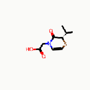 CC(C)[C@@H]1SC=CN(CC(=O)O)C1=O